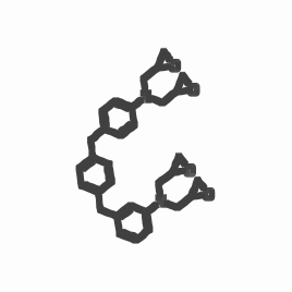 c1cc(Cc2ccc(Cc3ccc(N(CC4CO4)CC4CO4)cc3)cc2)cc(N(CC2CO2)CC2CO2)c1